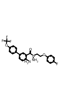 Nc1ccc(-c2ccc(OC(F)(F)F)cc2)cc1C(=O)N(N)CCOc1ccc(F)cc1